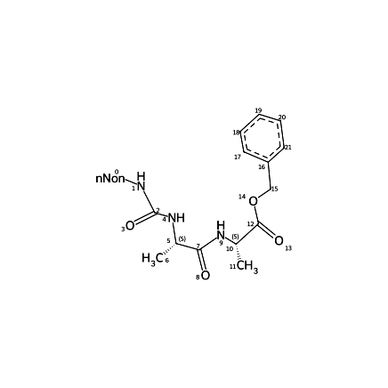 CCCCCCCCCNC(=O)N[C@@H](C)C(=O)N[C@@H](C)C(=O)OCc1ccccc1